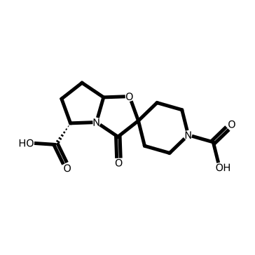 O=C(O)[C@@H]1CCC2OC3(CCN(C(=O)O)CC3)C(=O)N21